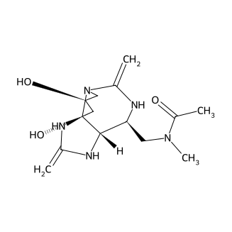 C=C1N[C@H]2[C@H](CN(C)C(C)=O)NC(=C)N3C[C@H](O)[C@H](O)[C@]23N1